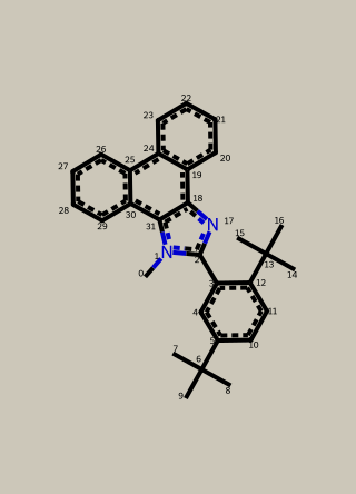 Cn1c(-c2cc(C(C)(C)C)ccc2C(C)(C)C)nc2c3ccccc3c3ccccc3c21